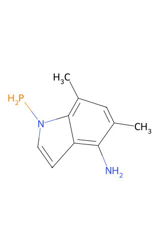 Cc1cc(C)c2c(ccn2P)c1N